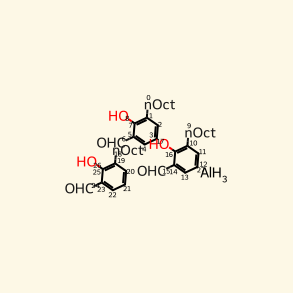 CCCCCCCCc1cccc(C=O)c1O.CCCCCCCCc1cccc(C=O)c1O.CCCCCCCCc1cccc(C=O)c1O.[AlH3]